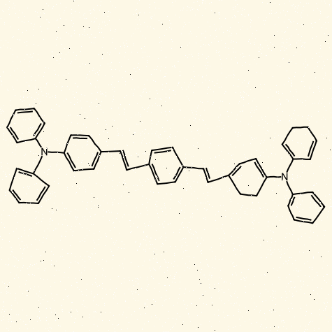 C1=CC(N(C2=CC=C(/C=C/c3ccc(/C=C/c4ccc(N(c5ccccc5)c5ccccc5)cc4)cc3)CC2)c2ccccc2)=CCC1